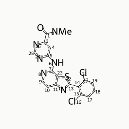 CNC(=O)c1cc(Nc2nccc3nc(-c4c(Cl)cccc4Cl)sc23)ncn1